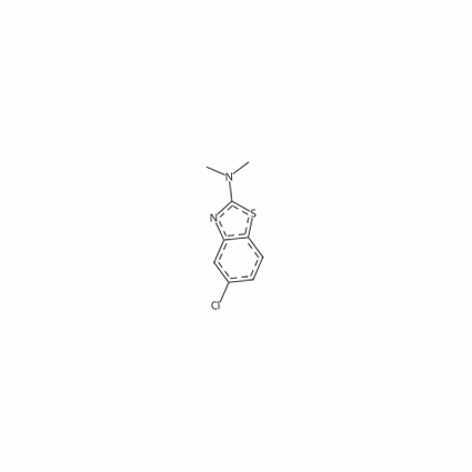 CN(C)c1nc2cc(Cl)ccc2s1